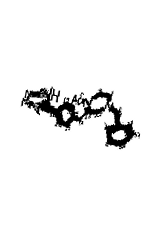 CC(=O)N1CCN(Cc2ccccc2)C[C@H]1Cc1ccc(-c2nnn[nH]2)cc1